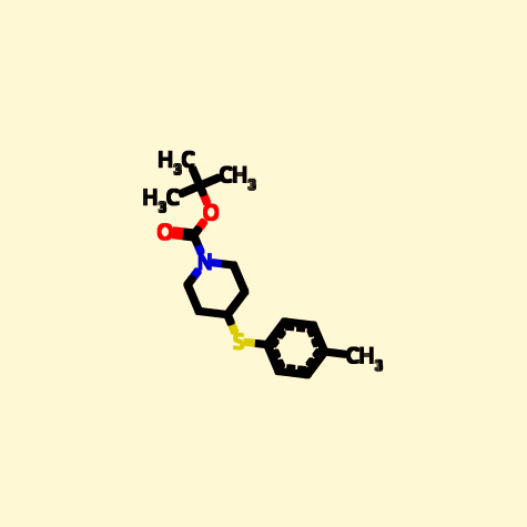 Cc1ccc(SC2CCN(C(=O)OC(C)(C)C)CC2)cc1